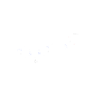 CCC(N1CCNCC1)N1CCN(CCCNC(=O)OC(C)(C)C)CC1